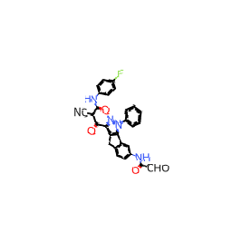 N#CC(C(=O)Nc1ccc(F)cc1)C(=O)c1nn(-c2ccccc2)c2c1Cc1ccc(NC(=O)C=O)cc1-2